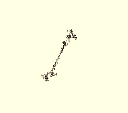 CCNC(=O)CCCNC(=O)[C@H](CCCCNC(=O)COCCOCCOCCOCCOCCOCCOCCOCCOCCOC(=O)Nc1cc(C[C@@H](C[C@H](C)C(=O)O)NC(=O)OC(C)(C)C)ccc1O)NC(=O)CCCN1C(=O)C=CC1=O